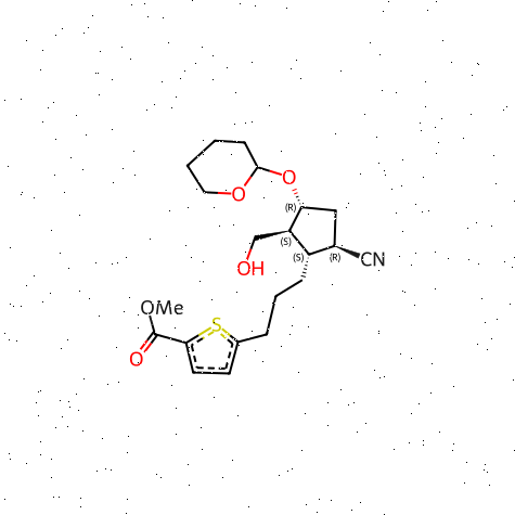 COC(=O)c1ccc(CCC[C@@H]2[C@@H](CO)[C@H](OC3CCCCO3)C[C@H]2C#N)s1